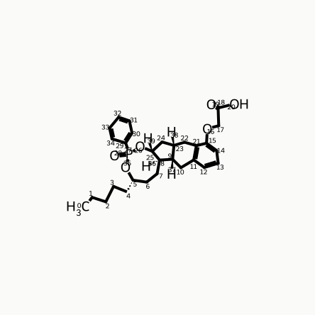 CCCCC[C@H]1CC[C@@H]2[C@H]3Cc4cccc(OCC(=O)O)c4C[C@H]3C[C@H]2OP(=O)(c2ccccc2)O1